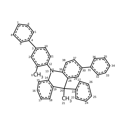 Cc1cc(-c2ccccc2)ccc1N1c2ccccc2C(C)(c2ccccc2)c2cc(-c3ccccc3)ccc21